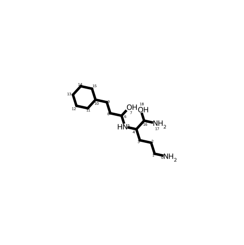 NCCCC(NC(O)CCC1CCCCC1)C(N)O